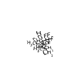 CCC(C)(C)C(F)(CC(C)(C)C)C(F)(F)OC(F)(C(=O)O)C(F)(F)F